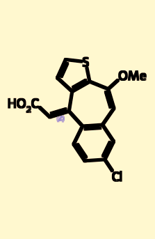 COC1=Cc2cc(Cl)ccc2/C(=C/C(=O)O)c2ccsc21